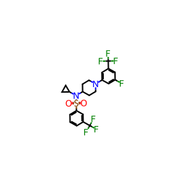 O=S(=O)(c1cccc(C(F)(F)F)c1)N(C1CC1)C1CCN(c2cc(F)cc(C(F)(F)F)c2)CC1